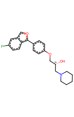 O[C@@H](COc1ccc(-c2occ3cc(F)ccc23)cc1)CN1CCCCC1